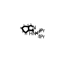 CC(C)P(NC1=NCC2CCCCC12)C(C)C